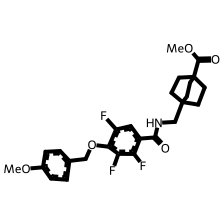 COC(=O)C12CCC(CNC(=O)c3cc(F)c(OCc4ccc(OC)cc4)c(F)c3F)(CC1)CC2